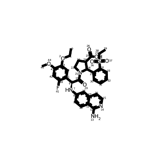 CCOc1cc([C@H](Nc2ccc3c(N)nccc3c2)C(=O)N2CCC(C(=O)O)C2c2ccccc2S(=O)(=O)CC)c(F)cc1OC